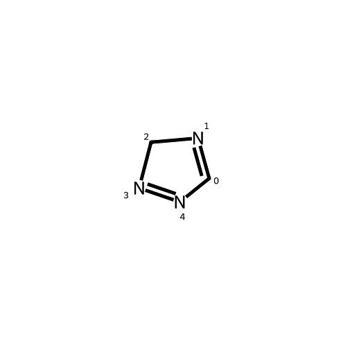 C1=NCN=N1